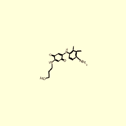 Cc1c(N)ccc(NC2=CC(=O)C(NCCCO)=CC2=O)c1C